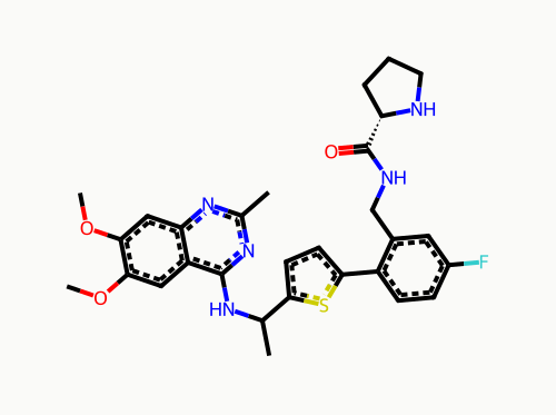 COc1cc2nc(C)nc(NC(C)c3ccc(-c4ccc(F)cc4CNC(=O)[C@@H]4CCCN4)s3)c2cc1OC